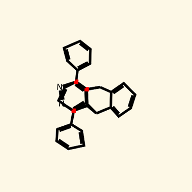 c1ccc(-c2nnc(-c3ccccc3)c3c2C2c4ccccc4C3c3ccccc32)cc1